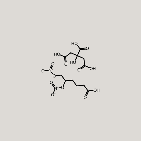 O=C(O)CC(O)(CC(=O)O)C(=O)O.O=C(O)CCCC(CO[N+](=O)[O-])O[N+](=O)[O-]